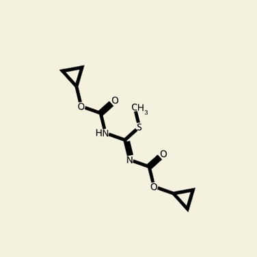 CSC(=NC(=O)OC1CC1)NC(=O)OC1CC1